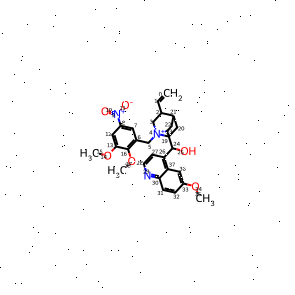 C=CC1C[N+]2(Cc3cc([N+](=O)[O-])cc(OC)c3OC)CCC1CC2C(O)c1ccnc2ccc(OC)cc12